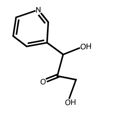 O=C(CO)C(O)c1cccnc1